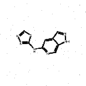 c1nnc(Nc2cc3cn[nH]c3cn2)s1